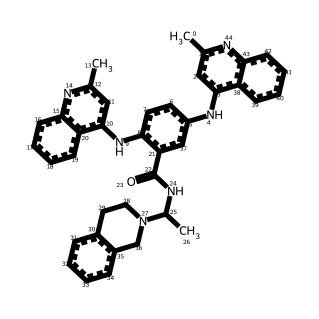 Cc1cc(Nc2ccc(Nc3cc(C)nc4ccccc34)c(C(=O)NC(C)N3CCc4ccccc4C3)c2)c2ccccc2n1